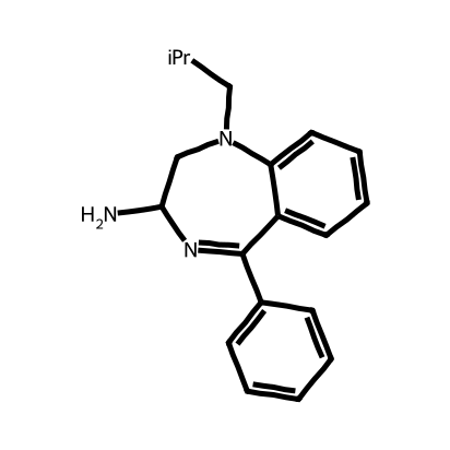 CC(C)CN1CC(N)N=C(c2ccccc2)c2ccccc21